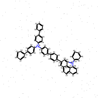 c1ccc(-c2ccc(N(c3ccc(-c4ccccc4)cc3)c3ccc(-c4ccc(-c5cc6ccc7cccc8c7c6c(c5)n8-c5ccccc5)cc4)cc3)cc2)cc1